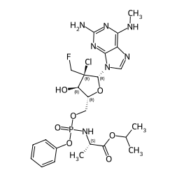 CNc1nc(N)nc2c1ncn2[C@@H]1O[C@H](COP(=O)(N[C@@H](C)C(=O)OC(C)C)Oc2ccccc2)[C@@H](O)[C@]1(Cl)CF